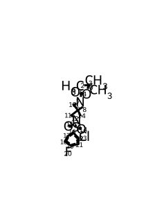 CC(C)(C)OC(=O)N1CC2(C1)CN(S(=O)(=O)c1ccc(F)cc1Cl)C2